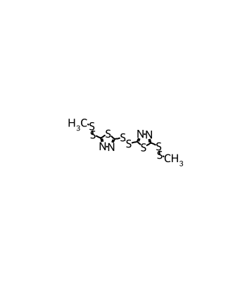 CSSc1nnc(SSc2nnc(SSC)s2)s1